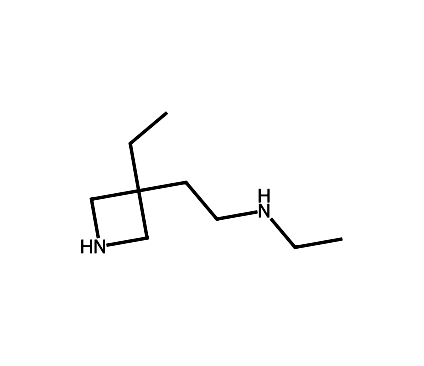 CCNCCC1(CC)CNC1